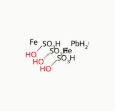 O=S(=O)(O)O.O=S(=O)(O)O.O=S(=O)(O)O.[Fe].[Fe].[PbH2]